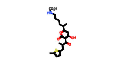 C/C(=C\c1ccc(C)s1)C(=O)c1c(O)cc(C(C)CCC=CNC(=O)O)oc1=O